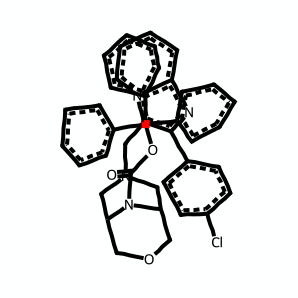 O=C(OC(c1ccccc1)(c1ccccc1)c1ccccc1)N1C2COCC1CN(Cc1c(-c3ccc(Cl)cc3)nc3ccccn13)C2